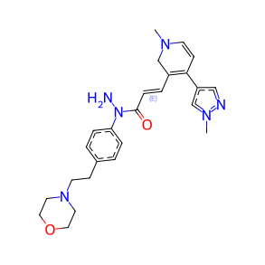 CN1C=CC(c2cnn(C)c2)=C(/C=C/C(=O)N(N)c2ccc(CCN3CCOCC3)cc2)C1